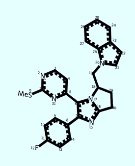 CSc1nccc(-c2c(-c3ccc(F)cc3)nc3n2C(Cn2ccc4ccccc42)CC3)n1